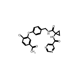 CC(=O)c1ccc(Cl)c(Oc2ccc(CNC(=O)C3(NC(=O)c4cncnc4)CC3)cc2)c1